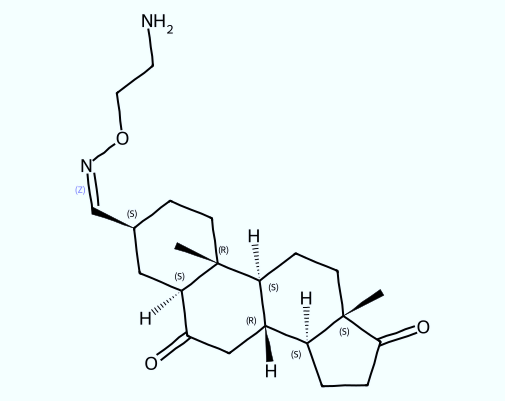 C[C@]12CC[C@H](/C=N\OCCN)C[C@@H]1C(=O)C[C@@H]1[C@@H]2CC[C@]2(C)C(=O)CC[C@@H]12